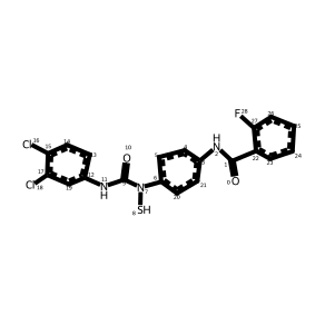 O=C(Nc1ccc(N(S)C(=O)Nc2ccc(Cl)c(Cl)c2)cc1)c1ccccc1F